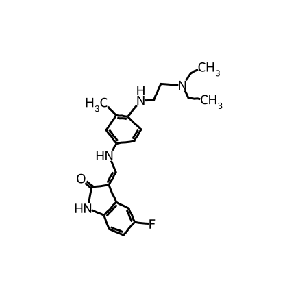 CCN(CC)CCNc1ccc(NC=C2C(=O)Nc3ccc(F)cc32)cc1C